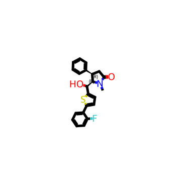 CN1C(=O)C[C@H](c2ccccc2)[C@@H]1C(O)c1ccc(-c2ccccc2F)s1